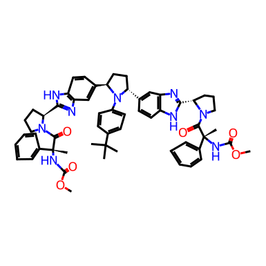 COC(=O)N[C@@](C)(C(=O)N1CCC[C@H]1c1nc2cc([C@H]3CC[C@H](c4ccc5[nH]c([C@@H]6CCCN6C(=O)[C@](C)(NC(=O)OC)c6ccccc6)nc5c4)N3c3ccc(C(C)(C)C)cc3)ccc2[nH]1)c1ccccc1